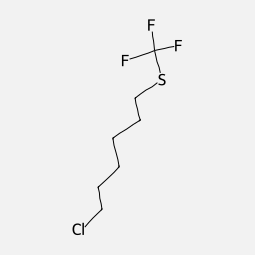 FC(F)(F)SCCCCCCCl